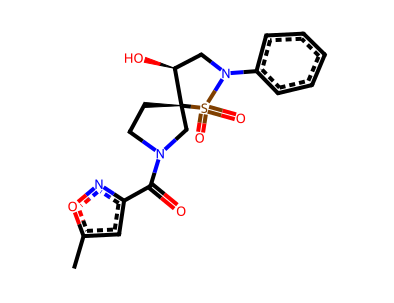 Cc1cc(C(=O)N2CC[C@@]3(C2)[C@@H](O)CN(c2ccccc2)S3(=O)=O)no1